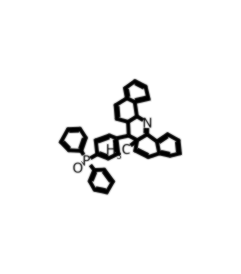 CC12C=Cc3ccccc3C1=NC1c3ccccc3C=CC1C2c1ccc(P(=O)(c2ccccc2)c2ccccc2)cc1